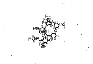 Cc1cc(C2CC2)cc2c1-c1cc(c(F)c(C(F)(F)F)c1)C(CC(O)O)NC(=O)C(n1cc(CCN3CC(F)C3)c(C(F)(F)F)cc1=O)c1cccc(c1)O2